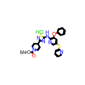 COC(=O)N1CCC(c2nsc(Nc3ncc(Sc4ccccn4)cc3Oc3ccccc3)n2)CC1.Cl